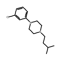 CC(C)CCN1CCN(c2cccc(Cl)c2)CC1